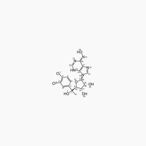 CC(O)(c1ccc(Cl)c(Cl)c1)[C@H]1O[C@@H](n2cnc3c(=NO)nc[nH]c32)[C@H](O)[C@@H]1O